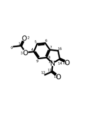 CC(=O)Oc1ccc2c(c1)N(C(C)=O)C(=O)C2